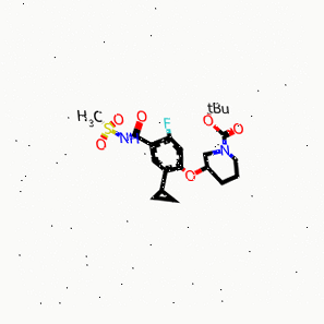 CC(C)(C)OC(=O)N1CCCC(Oc2cc(F)c(C(=O)NS(C)(=O)=O)cc2C2CC2)C1